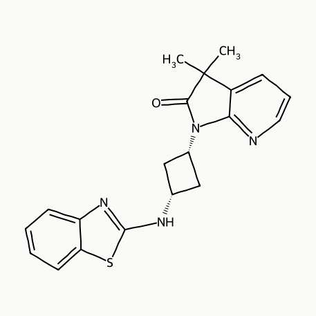 CC1(C)C(=O)N([C@H]2C[C@@H](Nc3nc4ccccc4s3)C2)c2ncccc21